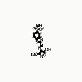 CC(C)(C)c1noc(O)c1N=Nc1nc2cc(S(N)(=O)=O)ccc2s1